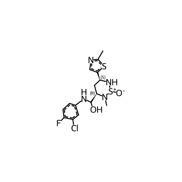 Cc1ncc([C@@H]2C[C@H](C(O)Nc3ccc(F)c(Cl)c3)N(C)[S+]([O-])N2)s1